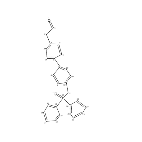 O=CCc1ccc(-c2ccc(CP(=O)(c3ccccc3)c3ccccc3)cc2)cc1